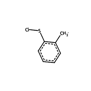 [CH2]c1ccccc1SCl